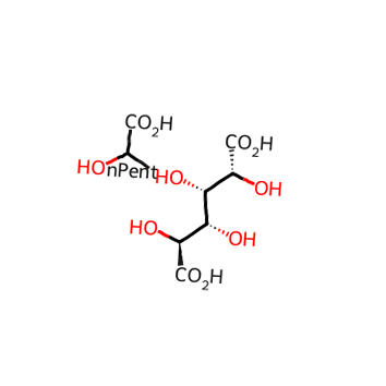 CCCCCC(O)C(=O)O.O=C(O)[C@@H](O)[C@@H](O)[C@H](O)[C@@H](O)C(=O)O